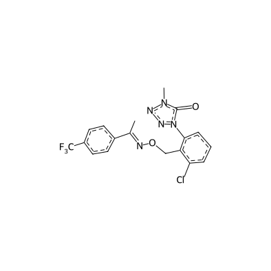 CC(=NOCc1c(Cl)cccc1-n1nnn(C)c1=O)c1ccc(C(F)(F)F)cc1